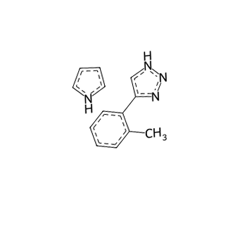 Cc1ccccc1-c1c[nH]nn1.c1cc[nH]c1